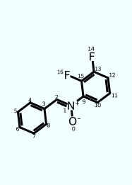 [O-][N+](=Cc1ccccc1)c1cccc(F)c1F